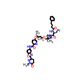 CC(C)C[C@H](NC(=O)CCCc1ccccc1)C(=O)NCC(C)(C)COCCC(C)(C)Oc1ccc(C(=O)Nc2ccc3oc(C4=NN(C)C(=O)CC4)nc3c2)nc1